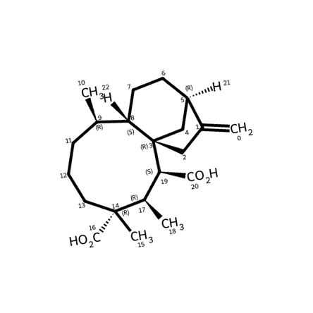 C=C1C[C@]23C[C@H]1CC[C@H]2[C@H](C)CCC[C@@](C)(C(=O)O)[C@H](C)[C@@H]3C(=O)O